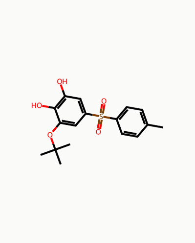 Cc1ccc(S(=O)(=O)c2cc(O)c(O)c(OC(C)(C)C)c2)cc1